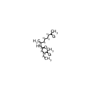 CCN(CC(=O)NC(C)CCCCC(C)=O)C(C)=O